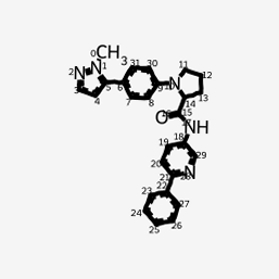 Cn1nccc1-c1ccc(N2CCCC2C(=O)Nc2ccc(-c3ccccc3)nc2)cc1